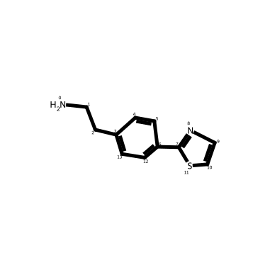 NCCc1ccc(-c2nccs2)cc1